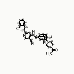 CC(=O)N1CCN(C2[C@@H]3CC4C[C@H]2C[C@@](CNc2nc(NCc5ccccc5Cl)ncc2C#N)(C4)C3)CC1